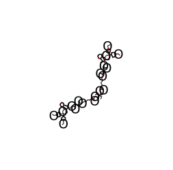 CCC(CC)(COC(=O)CCCCCOC(=O)CCC(=O)OCc1c2c(c3ccccc3c1C)OC(c1ccc(OC)cc1)(c1ccc(OC)cc1)C=C2)COC(=O)CCCCCOC(=O)CCC(=O)OCc1c2c(c3ccccc3c1C)OC(c1ccc(OC)cc1)(c1ccc(OC)cc1)C=C2